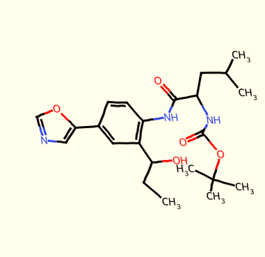 CCC(O)c1cc(-c2cnco2)ccc1NC(=O)C(CC(C)C)NC(=O)OC(C)(C)C